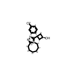 O[C@H]1C[C@@](c2ccc(Cl)cc2)(c2nnc3n2CCCCCC3)C1